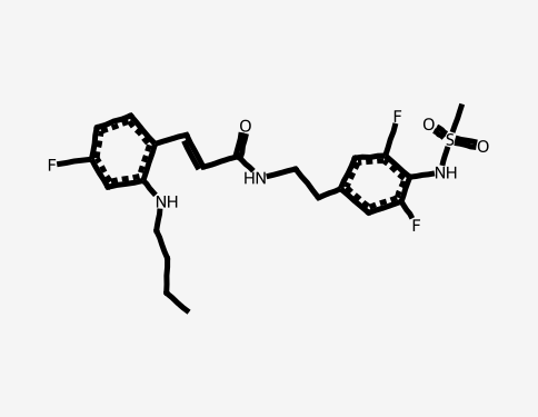 CCCCNc1cc(F)ccc1C=CC(=O)NCCc1cc(F)c(NS(C)(=O)=O)c(F)c1